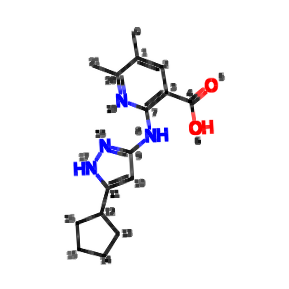 Cc1cc(C(=O)O)c(Nc2cc(C3CCCC3)[nH]n2)nc1C